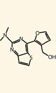 CN(C)c1nc(-c2occc2CO)c2sccc2n1